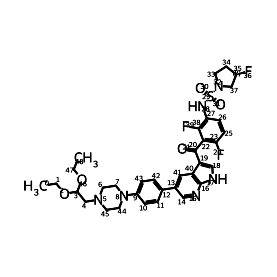 CCOC(CN1CCN(c2ccc(-c3cnc4[nH]cc(C(=O)c5c(F)ccc(NS(=O)(=O)N6CC[C@@H](F)C6)c5F)c4c3)cc2)CC1)OCC